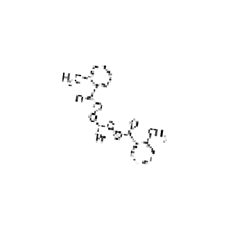 [CH2]C(C)[C](OOC(=O)c1ccccc1C)OOC(=O)c1ccccc1C